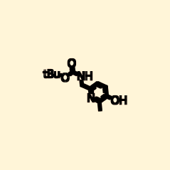 Cc1nc(CNC(=O)OC(C)(C)C)ccc1O